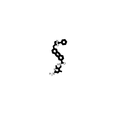 Cc1cc(N)nc(C)c1CNC(=O)c1ccc2c(c1)c1oc2c2cc(Cc3cnc(-c4ccccc4)o3)ccc21